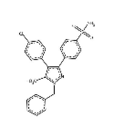 NS(=O)(=O)c1ccc(-c2nn(Cc3ccccc3)c(C(=O)O)c2-c2ccc(Cl)cc2)cc1